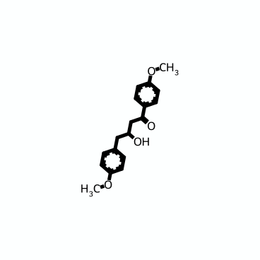 COc1ccc(CC(O)CC(=O)c2ccc(OC)cc2)cc1